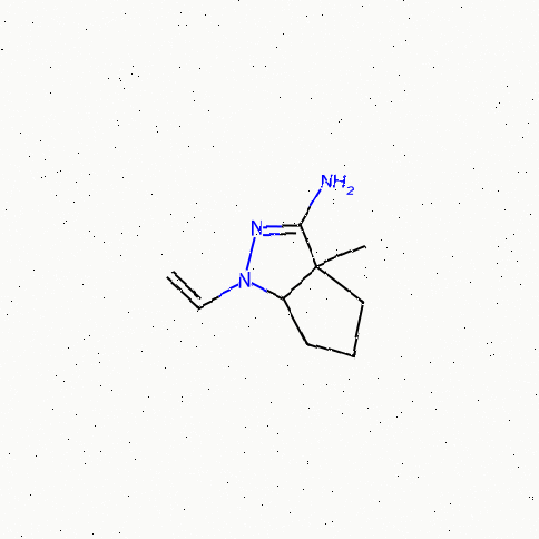 C=CN1N=C(N)C2(C)CCCC12